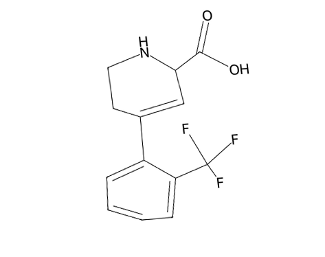 O=C(O)C1C=C(c2ccccc2C(F)(F)F)CCN1